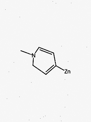 CN1C=C[C]([Zn])=CC1